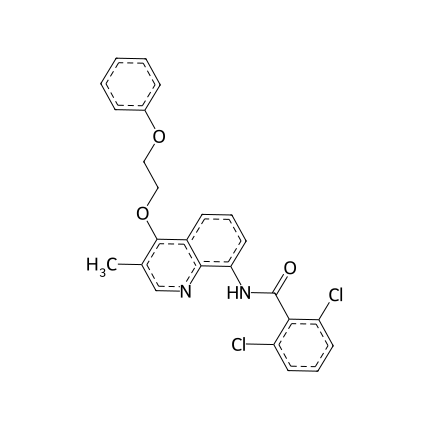 Cc1cnc2c(NC(=O)c3c(Cl)cccc3Cl)cccc2c1OCCOc1ccccc1